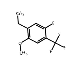 CCc1cc(F)c(C(F)(F)F)cc1OC